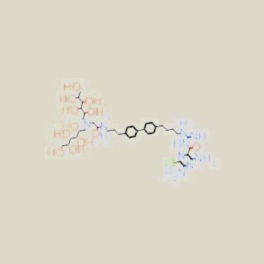 N=C(NCCCCc1ccc(-c2ccc(CCCNC(=O)CN(CC(O)C(O)C(O)C(O)CO)CC(O)C(O)C(O)C(O)CO)cc2)cc1)NC(=O)c1nc(Cl)c(N)nc1N